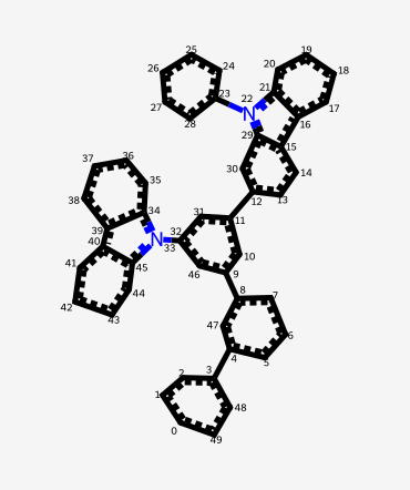 c1ccc(-c2cccc(-c3cc(-c4ccc5c6ccccc6n(-c6ccccc6)c5c4)cc(-n4c5ccccc5c5ccccc54)c3)c2)cc1